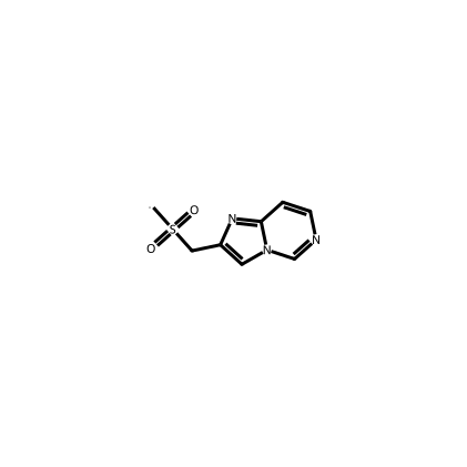 [CH2]S(=O)(=O)Cc1cn2cnccc2n1